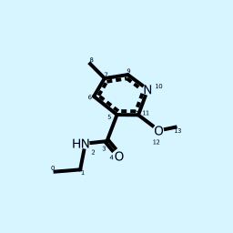 CCNC(=O)c1cc(C)cnc1OC